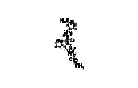 CCOC(=O)Cc1cn2cc(NC(=O)c3coc(-c4ccnc(C)c4)n3)c(-c3ccccc3)cc2n1